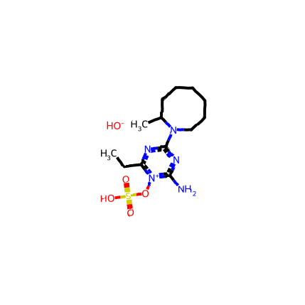 CCc1nc(N2CCCCCCC2C)nc(N)[n+]1OS(=O)(=O)O.[OH-]